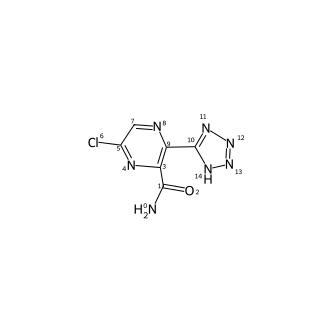 NC(=O)c1nc(Cl)cnc1-c1nnn[nH]1